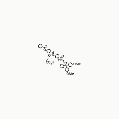 COc1ccc(C(OCCNC(=O)c2ccc(/N=N/c3ccc(OC(=O)c4ccccc4)cc3OCCCC(=O)O)cc2)(c2ccccc2)c2ccc(OC)cc2)cc1